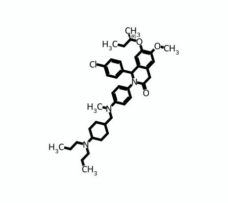 CCCN(CCC)C1CCC(CN(C)c2ccc(N3C(=O)Cc4cc(OC)c(O[C@H](C)CC)cc4C3c3ccc(Cl)cc3)cc2)CC1